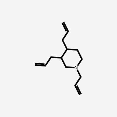 C=CCC1CCN(CC=C)CC1CC=C